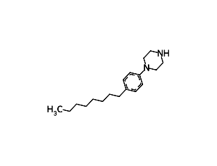 CCCCCCCCc1ccc(N2CCNCC2)cc1